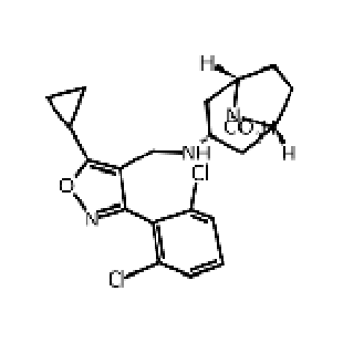 O=C(O)N1[C@@H]2CC[C@H]1C[C@@H](NCc1c(-c3c(Cl)cccc3Cl)noc1C1CC1)C2